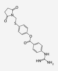 N=C(N)Nc1ccc(C(=O)Oc2ccc(SCN3C(=O)CCC3=O)cc2)cc1